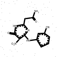 N#Cc1cccc(Nc2nc(CC(N)=O)[nH]c(=O)c2[N+](=O)[O-])c1